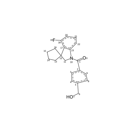 O=C(c1ccc(CO)cc1)N1CC2(CCCC2)c2c(F)cccc21